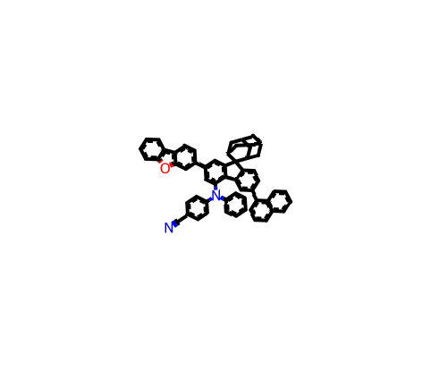 N#Cc1ccc(N(c2ccccc2)c2cc(-c3ccc4c(c3)oc3ccccc34)cc3c2-c2cc(-c4cccc5ccccc45)ccc2C32C3CC4CC(C3)CC2C4)cc1